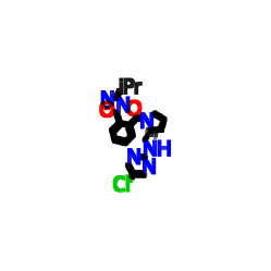 CC(C)c1noc(-c2ccccc2C(=O)N2CCC[C@H]2CNc2ncc(Cl)cn2)n1